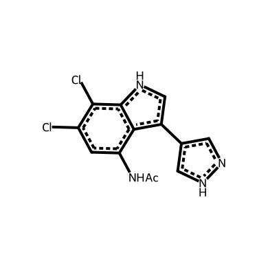 CC(=O)Nc1cc(Cl)c(Cl)c2[nH]cc(-c3cn[nH]c3)c12